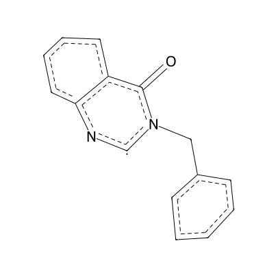 O=c1c2ccccc2n[c]n1Cc1ccccc1